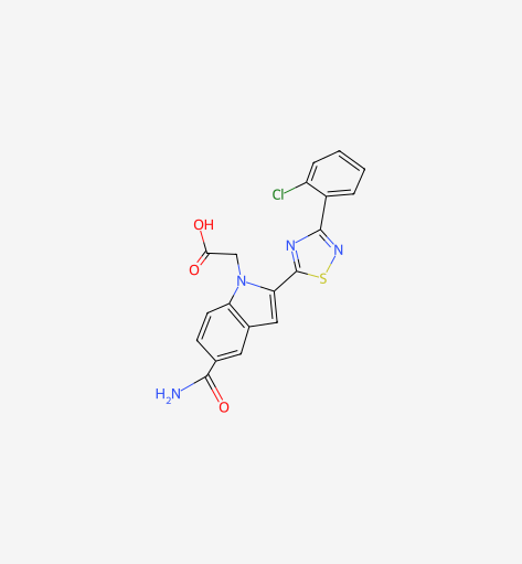 NC(=O)c1ccc2c(c1)cc(-c1nc(-c3ccccc3Cl)ns1)n2CC(=O)O